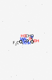 Cc1nc(N[C@H](C)c2cc(N)cc(C(F)(F)F)c2)c2cc(N(C)c3ccc(O)c(CC(=O)N(C)C)c3)ccc2n1.O=CO